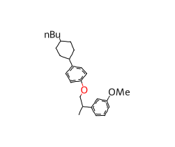 CCCCC1CCC(c2ccc(OCC(C)c3cccc(OC)c3)cc2)CC1